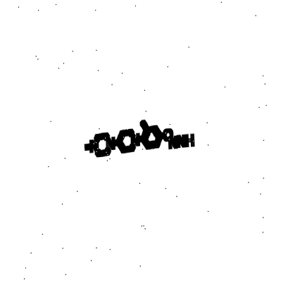 Cc1cc(ON=N)ccc1N1CCC(N2CCN(C)CC2)CC1